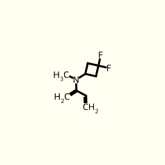 C=CC(=C)N(C)C1CC(F)(F)C1